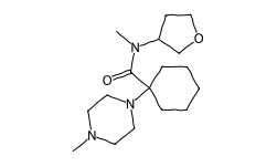 CN1CCN(C2(C(=O)N(C)C3CCOC3)CCCCC2)CC1